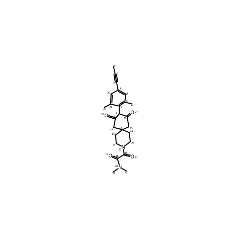 CC#Cc1cc(C)c(C2C(=O)CC3(CCN(C(=O)C(=O)N(C)C)CC3)CC2=O)c(C)c1